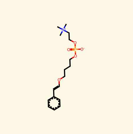 C[N+](C)(C)CCOP(=O)([O-])OCCCCOC=Cc1ccccc1